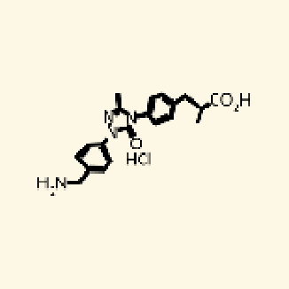 Cc1nn(-c2ccc(CN)cc2)c(=O)n1-c1ccc(CC(C)C(=O)O)cc1.Cl